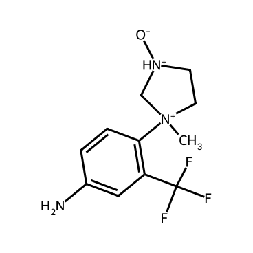 C[N+]1(c2ccc(N)cc2C(F)(F)F)CC[NH+]([O-])C1